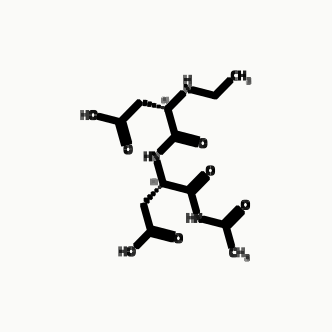 CCN[C@@H](CC(=O)O)C(=O)N[C@@H](CC(=O)O)C(=O)NC(C)=O